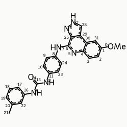 COc1ccc2nc(Nc3ccc(NC(=O)Nc4cccc(C)c4)cc3)c3n[nH]cc3c2c1